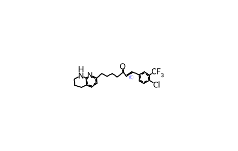 O=C(/C=C/c1ccc(Cl)c(C(F)(F)F)c1)CCCCc1ccc2c(n1)NCCC2